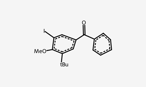 COc1c(I)cc(C(=O)c2ccccc2)cc1C(C)(C)C